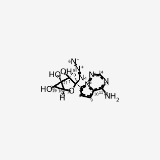 C[C@]1(O)[C@](N=[N+]=[N-])(c2ccc3c(N)ncnn23)O[C@@H]2C(O)[C@@]21O